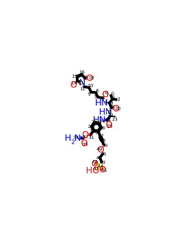 CC(C)[C@H](NC(=O)CCCCCN1C(=O)C=CC1=O)C(=O)N[C@@H](C)C(=O)Nc1ccc(COC(N)=O)c(C#CCOCCCS(=O)(=O)O)c1